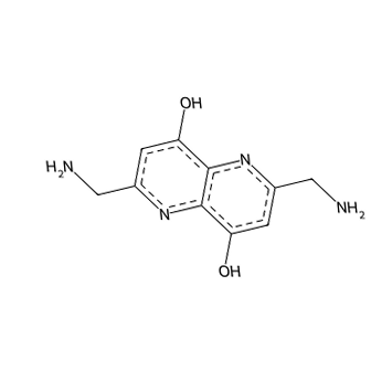 NCc1cc(O)c2nc(CN)cc(O)c2n1